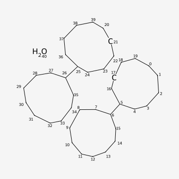 C1CCCCC(C2CCCCCCCCC2)CCCC1.C1CCCCC(C2CCCCCCCCC2)CCCC1.O